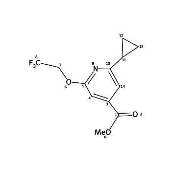 COC(=O)c1cc(OCC(F)(F)F)nc(C2CC2)c1